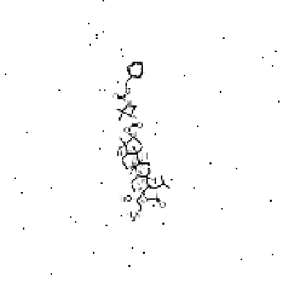 CC(C)C1=C2[C@H]3CC[C@@H]4[C@@]5(C)CC[C@H](OC(=O)[C@H]6C[C@@H](C(=O)OCc7ccccc7)C6(C)C)C(C)(C)[C@@H]5CC[C@@]4(C)[C@]3(C)CC[C@@]2([C@@H](O)CN)CC1=O